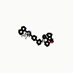 N=C(/C=C\C(N)c1ccc(-c2cccc(N3c4ccccc4C4(c5ccccc5-c5ccccc54)c4ccccc43)c2)cc1)c1cccc2ccccc12